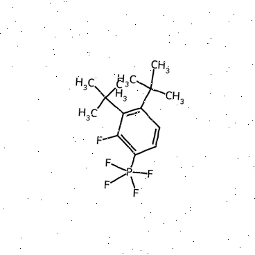 CC(C)(C)c1ccc(P(F)(F)(F)F)c(F)c1C(C)(C)C